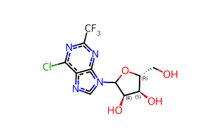 OC[C@H]1OC(n2cnc3c(Cl)nc(C(F)(F)F)nc32)[C@H](O)[C@@H]1O